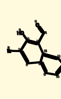 O=Cc1c(O)c(Br)cc2ccccc12